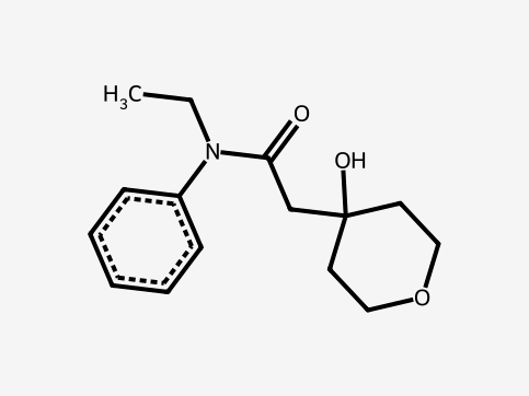 CCN(C(=O)CC1(O)CCOCC1)c1ccccc1